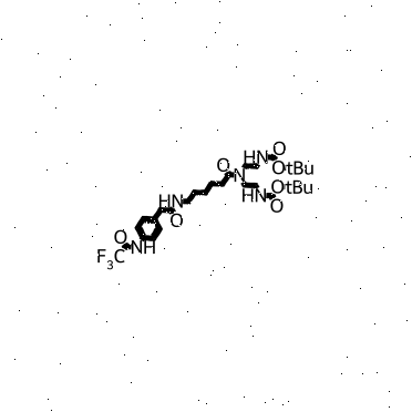 CC(C)(C)OC(=O)NCCN(CCNC(=O)OC(C)(C)C)C(=O)CCCCCNC(=O)Cc1ccc(NC(=O)C(F)(F)F)cc1